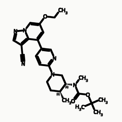 CCOc1cc(-c2ccc(N3CC[C@@H](C)[C@@H](N(C)C(=O)OC(C)(C)C)C3)nc2)c2c(C#N)cnn2c1